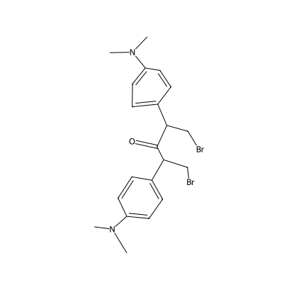 CN(C)c1ccc(C(CBr)C(=O)C(CBr)c2ccc(N(C)C)cc2)cc1